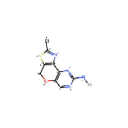 CCNc1ncc2c(n1)-c1nc(CC)sc1CO2